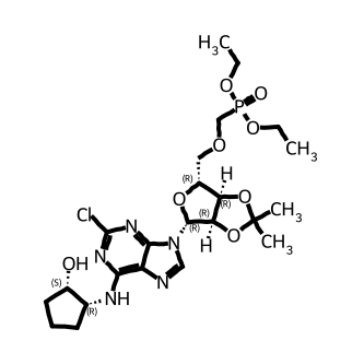 CCOP(=O)(COC[C@H]1O[C@@H](n2cnc3c(N[C@@H]4CCC[C@@H]4O)nc(Cl)nc32)[C@@H]2OC(C)(C)O[C@@H]21)OCC